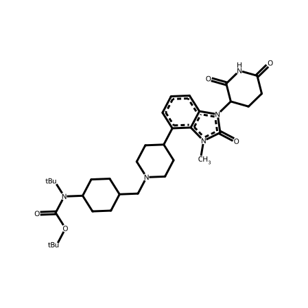 Cn1c(=O)n(C2CCC(=O)NC2=O)c2cccc(C3CCN(CC4CCC(N(C(=O)OC(C)(C)C)C(C)(C)C)CC4)CC3)c21